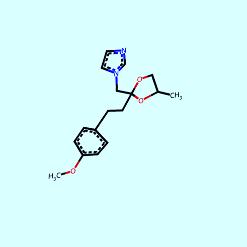 COc1ccc(CCC2(Cn3ccnc3)OCC(C)O2)cc1